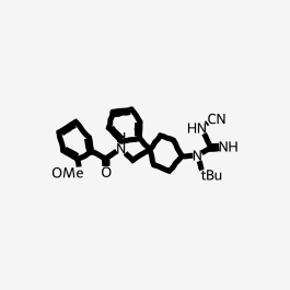 COc1ccccc1C(=O)NCC1(c2ccccc2)CCC(N(C(=N)NC#N)C(C)(C)C)CC1